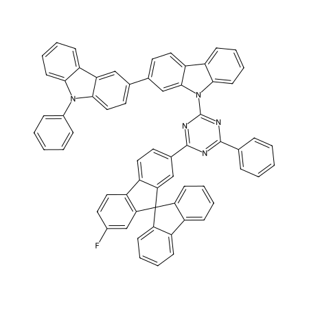 Fc1ccc2c(c1)C1(c3ccccc3-c3ccccc31)c1cc(-c3nc(-c4ccccc4)nc(-n4c5ccccc5c5ccc(-c6ccc7c(c6)c6ccccc6n7-c6ccccc6)cc54)n3)ccc1-2